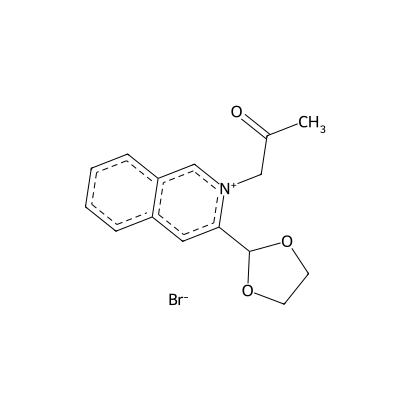 CC(=O)C[n+]1cc2ccccc2cc1C1OCCO1.[Br-]